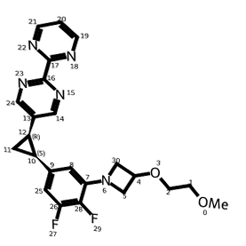 COCCOC1CN(c2cc([C@H]3C[C@H]3c3cnc(-c4ncccn4)nc3)cc(F)c2F)C1